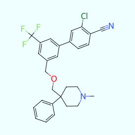 CN1CCC(COCc2cc(-c3ccc(C#N)c(Cl)c3)cc(C(F)(F)F)c2)(c2ccccc2)CC1